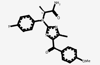 COc1ccc(C(=O)c2sc(N(c3ccc(F)cc3)[C@@H](C)C(N)=O)nc2C)cc1